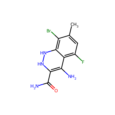 Cc1cc(F)c2c(c1Br)NNC(C(N)=O)=C2N